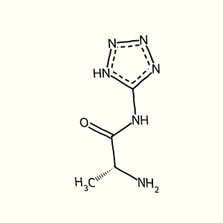 C[C@@H](N)C(=O)Nc1nnn[nH]1